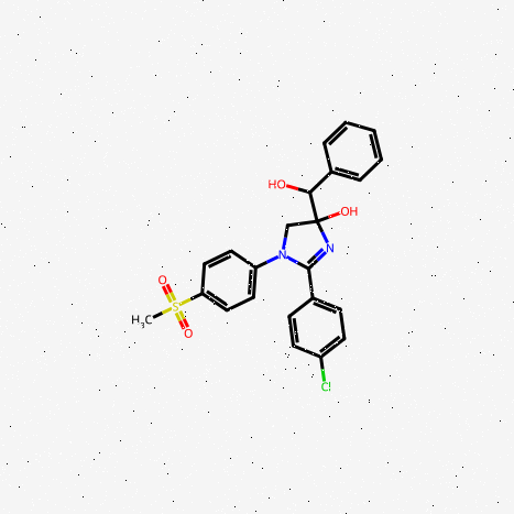 CS(=O)(=O)c1ccc(N2CC(O)(C(O)c3ccccc3)N=C2c2ccc(Cl)cc2)cc1